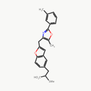 CSC(Cc1ccc2oc(Cc3nc(-c4cccc(C)c4)oc3C)cc2c1)C(=O)O